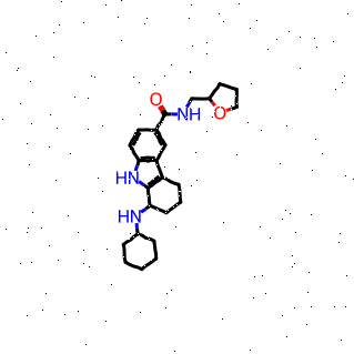 O=C(NCC1CCCO1)c1ccc2[nH]c3c(c2c1)CCCC3NC1CCCCC1